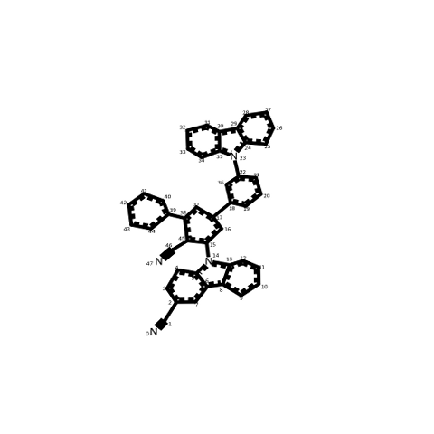 N#Cc1ccc2c(c1)c1ccccc1n2-c1cc(-c2cccc(-n3c4ccccc4c4ccccc43)c2)cc(-c2ccccc2)c1C#N